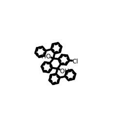 OC1(c2ccccc2-c2ccccc2)c2ccccc2C(O)(c2ccccc2-c2ccccc2)c2cc(Cl)ccc21